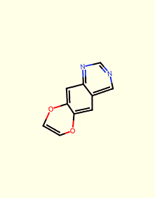 C1=COc2cc3ncncc3cc2O1